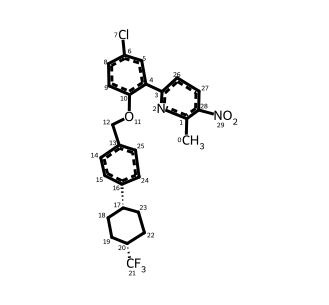 Cc1nc(-c2cc(Cl)ccc2OCc2ccc([C@H]3CC[C@@H](C(F)(F)F)CC3)cc2)ccc1[N+](=O)[O-]